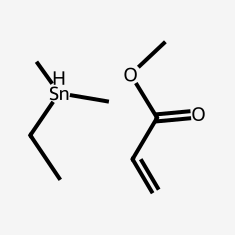 C=CC(=O)OC.C[CH2][SnH]([CH3])[CH3]